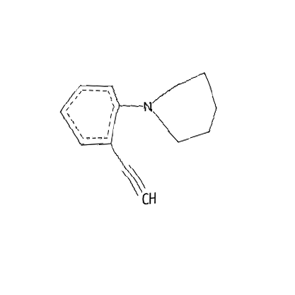 C#Cc1ccccc1N1CCCCC1